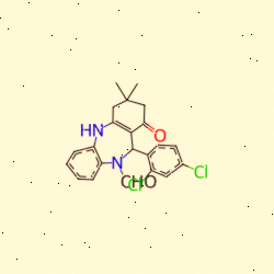 CC1(C)CC(=O)C2=C(C1)Nc1ccccc1N(C=O)C2c1ccc(Cl)cc1Cl